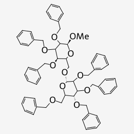 CO[C@H]1OC(CO[C@H]2OC(COCc3ccccc3)[C@@H](OCc3ccccc3)C(OCc3ccccc3)C2OCc2ccccc2)[C@@H](OCc2ccccc2)C(OCc2ccccc2)C1OCc1ccccc1